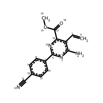 C=Cc1c(N)nc(-c2ccc(C#N)cc2)nc1C(=O)OC